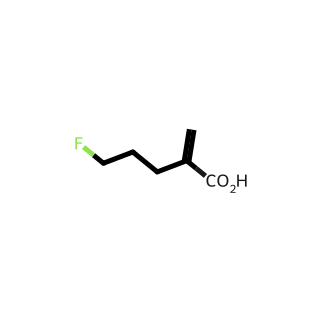 C=C(CCCF)C(=O)O